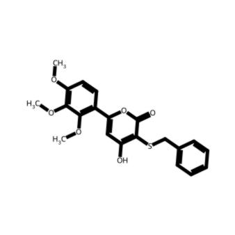 COc1ccc(-c2cc(O)c(SCc3ccccc3)c(=O)o2)c(OC)c1OC